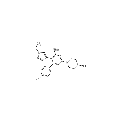 CNc1nc(N2CCC(N)CC2)nc(-c2ccc(C#N)cc2)c1-c1cnn(CC(F)(F)F)c1